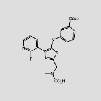 COc1cccc(Sc2sc(CN(C)C(=O)O)cc2-c2cccnc2F)c1